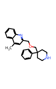 Cc1cc(COCC2(c3ccccc3)CCNCC2)nc2ccccc12